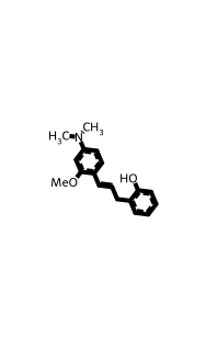 COc1cc(N(C)C)ccc1/C=C/Cc1ccccc1O